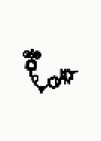 Cc1cnc(N2CCC([C@H]3C[C@H]3COCc3ccc(S(C)(=O)=O)cc3)CC2)nc1